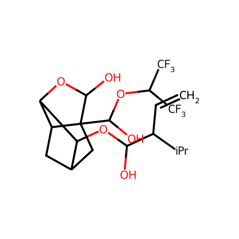 C=CC(C(C)C)C(O)OC1C2CC3C1OC(O)C3(C(O)OC(C(F)(F)F)C(F)(F)F)C2